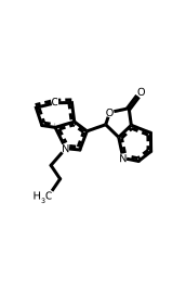 CCCn1cc(C2OC(=O)c3cccnc32)c2ccccc21